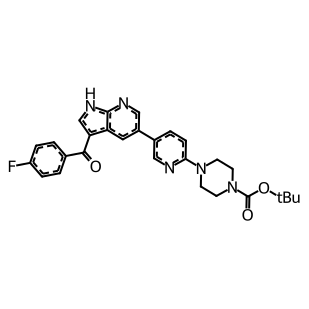 CC(C)(C)OC(=O)N1CCN(c2ccc(-c3cnc4[nH]cc(C(=O)c5ccc(F)cc5)c4c3)cn2)CC1